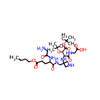 CCCCOC(=O)CCC(NC(=O)CN)C(=O)NCC1(NC(C(=O)NCC(=O)O)C(OC(C)(C)C)C(=O)OC(C)(C)C)CNC1